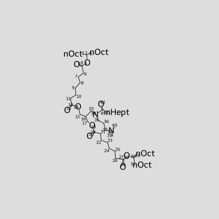 CCCCCCCCC(CCCCCCCC)OC(=O)CCCCCCC(=O)OCC(COC(=O)CCCCCCC(=O)OC(CCCCCCCC)CCCCCCCC)CN(CCCN(C)C)C(=O)CCCCCCC